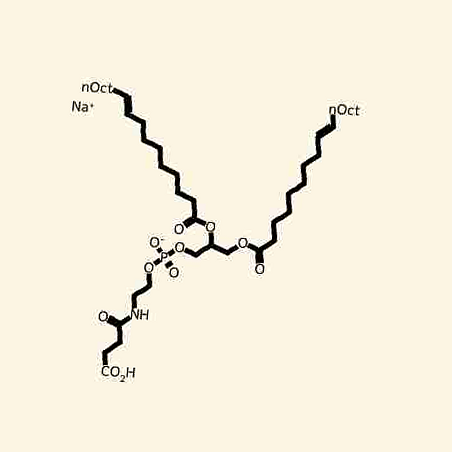 CCCCCCCCC=CCCCCCCCC(=O)OCC(COP(=O)([O-])OCCNC(=O)CCC(=O)O)OC(=O)CCCCCCCC=CCCCCCCCC.[Na+]